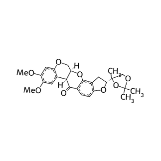 COc1cc2c(cc1OC)[C@@H]1C(=O)c3ccc4c(c3O[C@@H]1CO2)C[C@H](C1(C)COC(C)(C)O1)O4